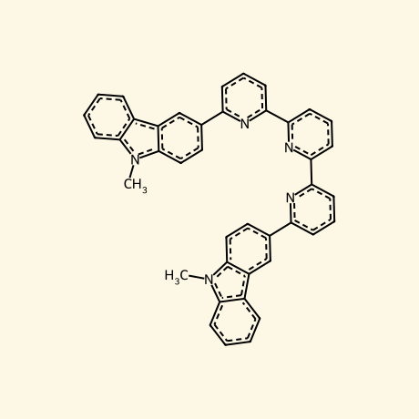 Cn1c2ccccc2c2cc(-c3cccc(-c4cccc(-c5cccc(-c6ccc7c(c6)c6ccccc6n7C)n5)n4)n3)ccc21